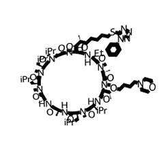 CC[C@@H]1NC(=O)[C@@H]2[C@@H]([C@H](C)CCCCCSc3nnnn3-c3ccccc3)ON2C(=O)[C@H](C(C)C)N(C)C(=O)[C@H](CC(C)C)N(C)C(=O)[C@H](CC(C)C)N(C)C(=O)[C@@H](C)NC(=O)[C@H](C)NC(=O)[C@H](CC(C)C)N(C)C(=O)[C@H](C(C)C)NC(=O)[C@H]([C@@H](C)OCCCCN2CCOCC2)N(C)C(=O)[C@@H](C)N(C)C1=O